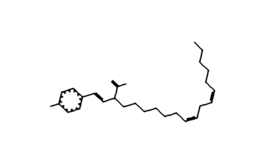 CCCCC/C=C\C/C=C\CCCCCCC(C=Cc1ccc(O)cc1)C(=O)O